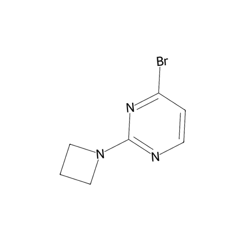 Brc1ccnc(N2CCC2)n1